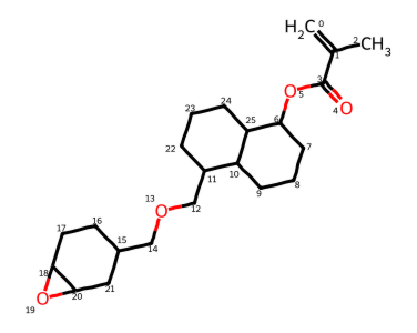 C=C(C)C(=O)OC1CCCC2C(COCC3CCC4OC4C3)CCCC12